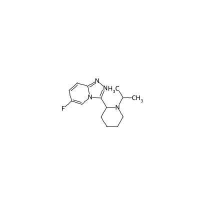 CC(C)N1CCCCC1c1nnc2ccc(F)cn12